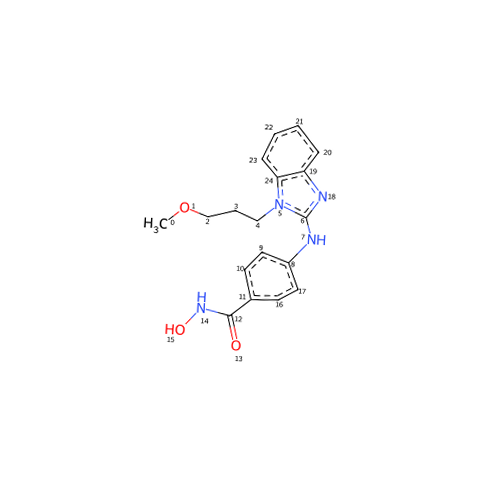 COCCCn1c(Nc2ccc(C(=O)NO)cc2)nc2ccccc21